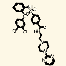 O=C(NCCN1CCN(c2ncccn2)CC1)c1ccc(S(=O)(=O)Nc2ccccc2Oc2ccc(Cl)c(Cl)c2)cc1